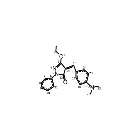 CCOC1=NN(c2ccccc2)C(=O)/C1=C\c1ccc(N(C)C)cc1